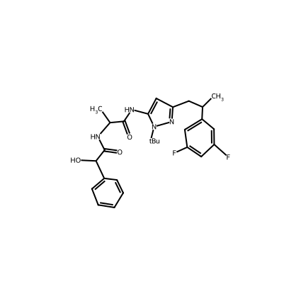 CC(NC(=O)C(O)c1ccccc1)C(=O)Nc1cc(CC(C)c2cc(F)cc(F)c2)nn1C(C)(C)C